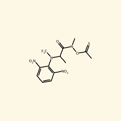 CC(=S)ON(C)C(=O)C(C)N(c1c([N+](=O)[O-])cccc1[N+](=O)[O-])C(F)(F)F